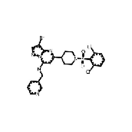 O=S(=O)(c1c(Cl)cccc1Cl)N1CCC(c2cc(NCc3cccnc3)n3ncc(Br)c3n2)CC1